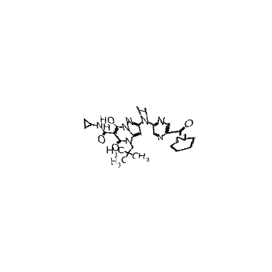 CC(C)(C)Cn1c(=O)c(C(=O)NC2CC2)c(O)n2nc(Nc3cnc(C(=O)N4CCCC4)cn3)cc12